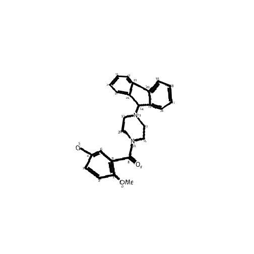 COc1ccc(Cl)cc1C(=O)N1CCN(C2c3ccccc3-c3ccccc32)CC1